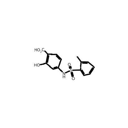 Cc1ccccc1S(=O)(=O)Nc1ccc(C(=O)O)c(O)c1